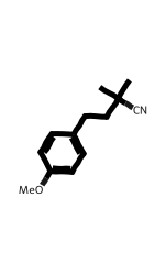 COc1ccc(CCC(C)(C)C#N)cc1